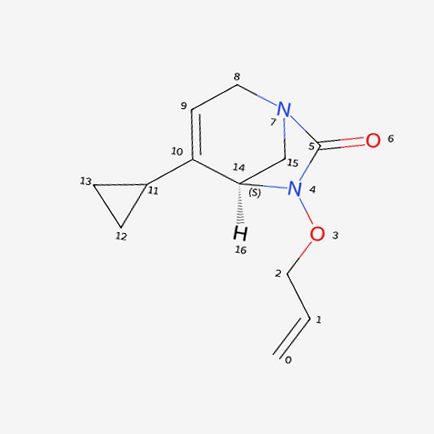 C=CCON1C(=O)N2CC=C(C3CC3)[C@H]1C2